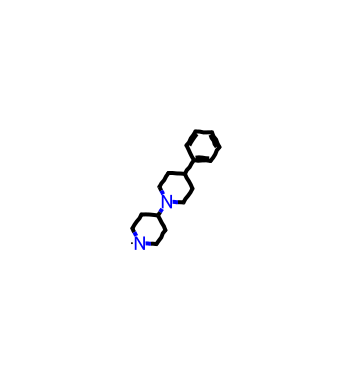 c1ccc(C2CCN(C3CC[N]CC3)CC2)cc1